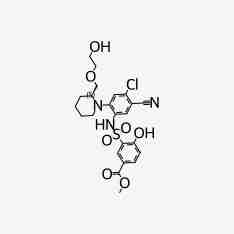 COC(=O)c1ccc(O)c(S(=O)(=O)Nc2cc(C#N)c(Cl)cc2N2CCCC[C@H]2COCCO)c1